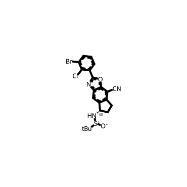 CC(C)(C)[S+]([O-])N[C@H]1CCc2c1cc1nc(-c3cccc(Br)c3Cl)oc1c2C#N